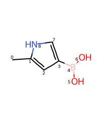 Cc1cc(B(O)O)c[nH]1